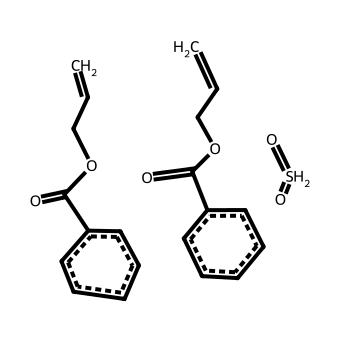 C=CCOC(=O)c1ccccc1.C=CCOC(=O)c1ccccc1.O=[SH2]=O